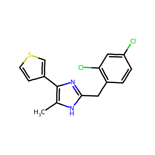 Cc1[nH]c(Cc2ccc(Cl)cc2Cl)nc1-c1ccsc1